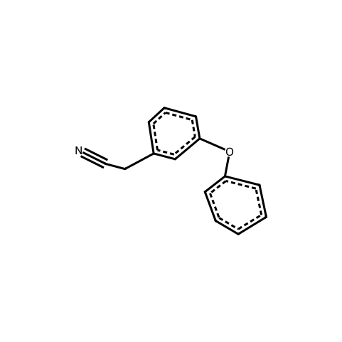 N#CCc1cccc(Oc2ccccc2)c1